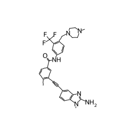 Cc1ccc(C(=O)Nc2ccc(CN3CCN(C)CC3)c(C(F)(F)F)c2)cc1C#Cc1ccc2c(c1)nc(N)n2C